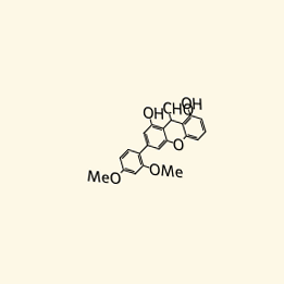 COc1ccc(-c2cc(O)c3c(c2)Oc2cccc(O)c2C3C=O)c(OC)c1